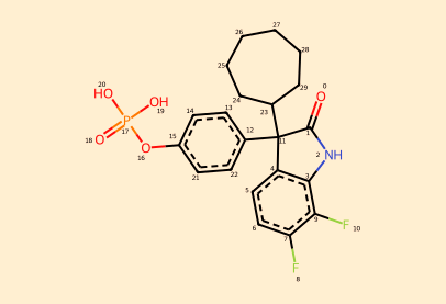 O=C1Nc2c(ccc(F)c2F)C1(c1ccc(OP(=O)(O)O)cc1)C1CCCCCC1